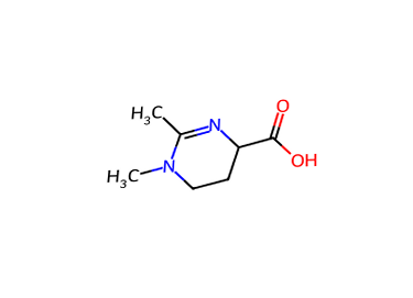 CC1=NC(C(=O)O)CCN1C